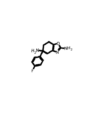 Nc1nc2c(o1)CCC(N)(c1ccc(F)cc1)C2